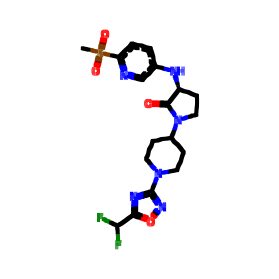 CS(=O)(=O)c1ccc(N[C@H]2CCN(C3CCN(c4noc(C(F)F)n4)CC3)C2=O)cn1